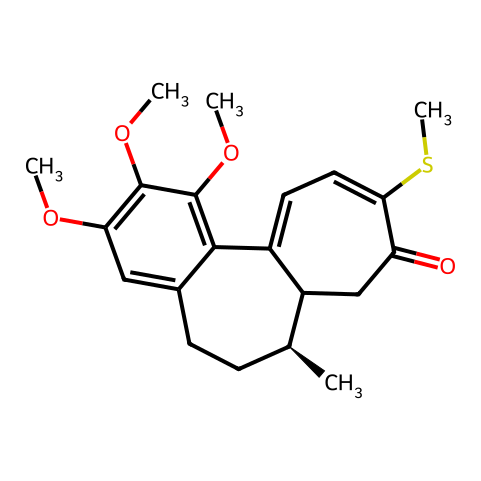 COc1cc2c(c(OC)c1OC)C1=CC=C(SC)C(=O)CC1[C@@H](C)CC2